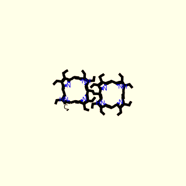 CCC1=C(CC)c2cc3[nH]c(c(CCc4c5nc(cc6[nH]c(cc7nc(cc8[nH]c4c(CC)c8CC)C(CC)=C7CC)c(CC)c6CC)C(CC)=C5CC)c4nc(cc5[nH]c(cc1n2)c(CC)c5CC)C(CC)=C4CC)c(CC)c3CC